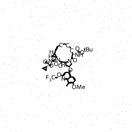 COc1ccc2c(O[C@@H]3C[C@H]4C(=O)N[C@]5(C(=O)NS(=O)(=O)C6CC6)C[C@H]5/C=C\CCCCC[C@H](NC(=O)OC(C)(C)C)C(=O)N4C3)cc(OCC(F)(F)F)nc2c1C